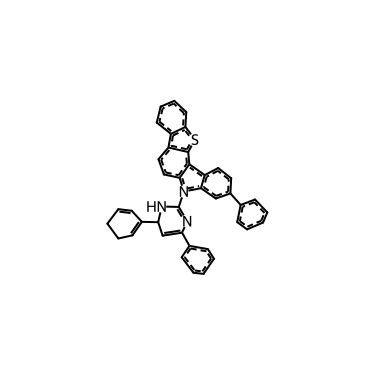 C1=CC(C2C=C(c3ccccc3)N=C(n3c4cc(-c5ccccc5)ccc4c4c5sc6ccccc6c5ccc43)N2)=CCC1